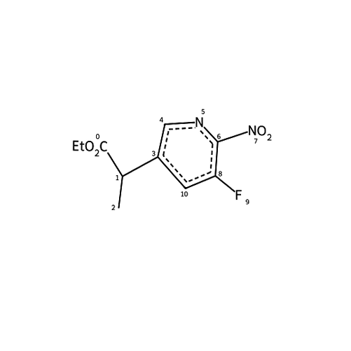 CCOC(=O)C(C)c1cnc([N+](=O)[O-])c(F)c1